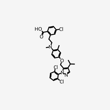 Cc1cc(OCc2c(C(C)C)cnn2-c2c(Cl)cccc2Cl)ccc1N(C)CCc1cc(Cl)ccc1C(=O)O